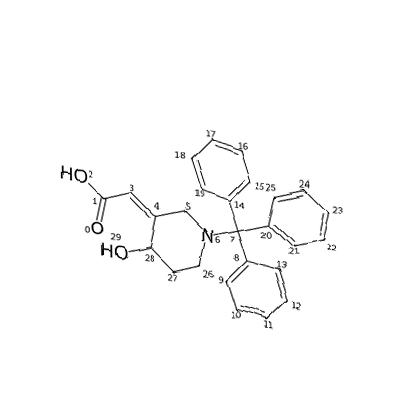 O=C(O)/C=C1/CN(C(c2ccccc2)(c2ccccc2)c2ccccc2)CCC1O